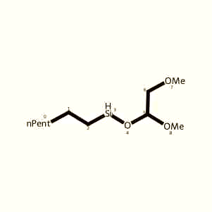 CCCCCCC[SiH]OC(COC)OC